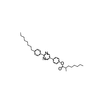 CCCCCCCCc1ccc(-c2ncc(-c3ccc(OC(=O)C(C)CCCCCC)cc3)cn2)cc1